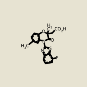 Cc1ccc2c(c1)N(c1nc3cccc(F)c3s1)C(=O)C(C)(CC(=O)O)O2